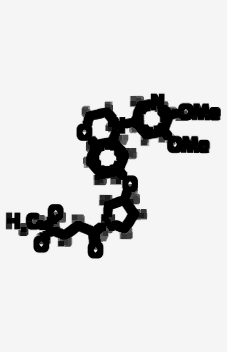 COc1cc(N2CCOc3ccc(OC4CCN(C(=O)CCS(C)(=O)=O)C4)cc32)cnc1OC